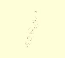 CN1CC2CC1CN2c1ccc(Nc2nccc(-c3ccc(NS(C)(=O)=O)cc3)n2)cc1F